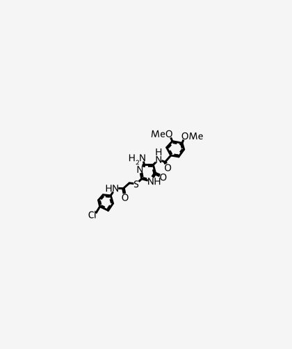 COc1ccc(C(=O)Nc2c(N)nc(SCC(=O)Nc3ccc(Cl)cc3)[nH]c2=O)cc1OC